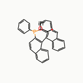 CC(C)Oc1ccc2ccccc2c1-c1c(P(c2ccccc2)c2ccccc2)ccc2ccccc12